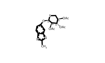 CC(=O)O[C@@H]1[C@@H](OC(C)=O)[C@@H](Oc2ccc3nc(C)sc3c2)SC[C@H]1OC(C)=O